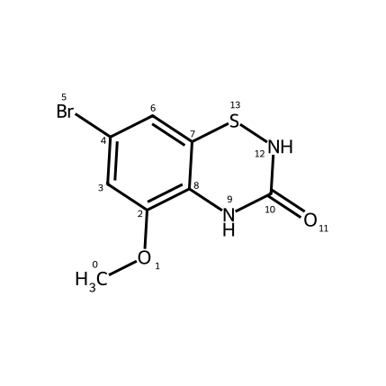 COc1cc(Br)cc2c1NC(=O)NS2